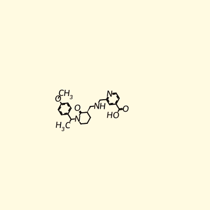 COc1ccc(C(C)N2CCC[C@H](CNCc3cc(C(=O)O)ccn3)C2=O)cc1